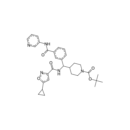 CC(C)(C)OC(=O)N1CCC(C(NC(=O)c2cc(C3CC3)on2)c2cccc(C(=O)Nc3cccnc3)c2)CC1